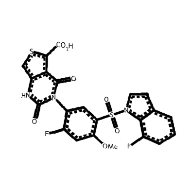 COc1cc(F)c(-n2c(=O)[nH]c3csc(C(=O)O)c3c2=O)cc1S(=O)(=O)n1ccc2cccc(F)c21